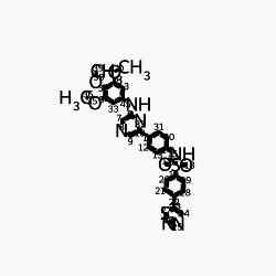 COc1cc(Nc2cncc(-c3ccc(NS(=O)(=O)c4ccc(-c5cnns5)cc4)cc3)n2)cc(OC)c1OC